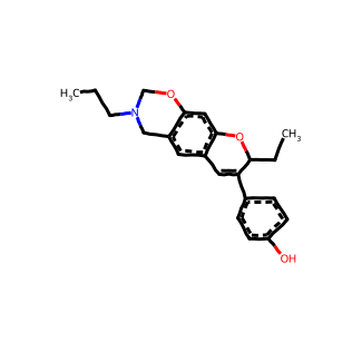 CCCN1COc2cc3c(cc2C1)C=C(c1ccc(O)cc1)C(CC)O3